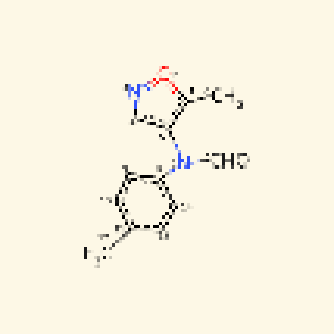 Cc1oncc1N(C=O)c1ccc(C(F)(F)F)cc1